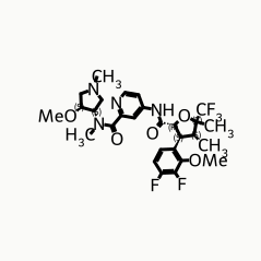 COc1c([C@H]2[C@H](C(=O)Nc3ccnc(C(=O)N(C)[C@H]4CN(C)C[C@@H]4OC)c3)O[C@@](C)(C(F)(F)F)[C@H]2C)ccc(F)c1F